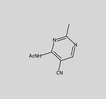 CC(=O)Nc1nc(C)ncc1C#N